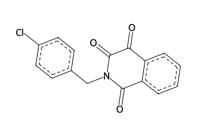 O=C1C(=O)N(Cc2ccc(Cl)cc2)C(=O)c2ccccc21